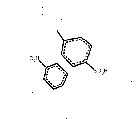 Cc1ccc(S(=O)(=O)O)cc1.O=[N+]([O-])c1ccccc1